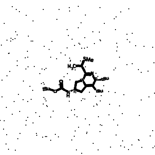 CSC(C)C1=N[C@@H](C(C)(C)C)C(C(C)(C)C)=C2C[C@H](NC(=O)OC(C)(C)C)CN12